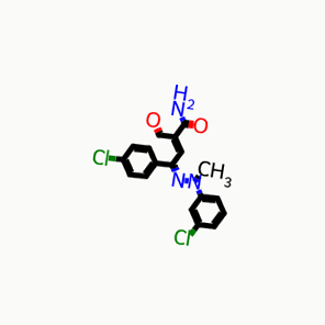 CN(/N=C(\C=C(/C=O)C(N)=O)c1ccc(Cl)cc1)c1cccc(Cl)c1